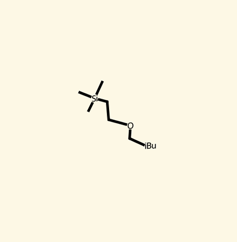 CCC(C)COCC[Si](C)(C)C